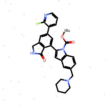 CC(C)(C)OC(=O)n1c(-c2cc(-c3cccnc3F)cc3c2C(=O)NC3)cc2cc(CN3CCCCC3)ccc21